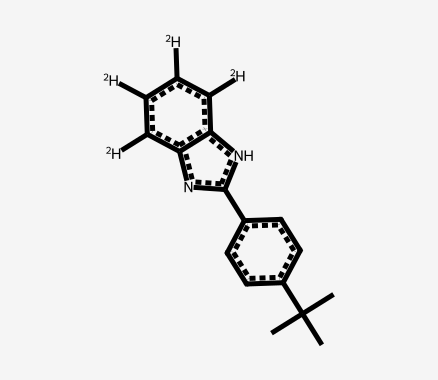 [2H]c1c([2H])c([2H])c2[nH]c(-c3ccc(C(C)(C)C)cc3)nc2c1[2H]